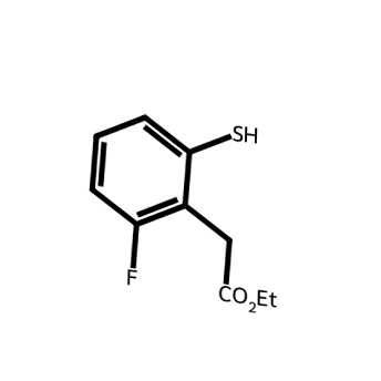 CCOC(=O)Cc1c(F)cccc1S